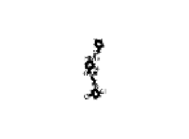 O=C(Nc1ccc2c(=O)n(CCCOc3cc(Cl)ccc3Cl)cnc2c1)OCc1ccccc1